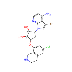 Nc1ccnc2c1c(Br)cn2C1CC(Oc2cc(Cl)cc3c2CNCC3)[C@@H](O)[C@H]1O